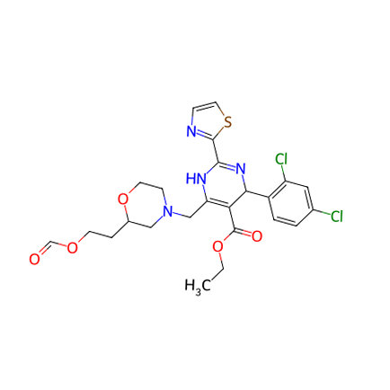 CCOC(=O)C1=C(CN2CCOC(CCOC=O)C2)NC(c2nccs2)=NC1c1ccc(Cl)cc1Cl